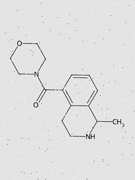 CC1NCCc2c(C(=O)N3CCOCC3)cccc21